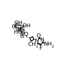 C[C@H]1[C@H](COP(=O)(O)CP(=O)(O)CP(=O)(O)O)C[C@@H]1n1cc(F)c(N)nc1=O